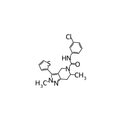 CC1Cc2nn(C)c(-c3cccs3)c2CN1C(=O)Nc1cccc(Cl)c1